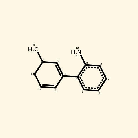 CC1C=C(c2ccccc2N)C=CC1